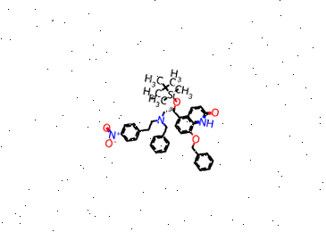 CC(C)(C)[Si](C)(C)O[C@@H](CN(CCc1ccc([N+](=O)[O-])cc1)Cc1ccccc1)c1ccc(OCc2ccccc2)c2[nH]c(=O)ccc12